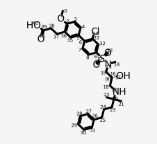 COc1ccc(-c2ccc(S(=O)(=O)N(C)C[C@H](O)CNC(C)(C)CCCc3ccccc3)cc2Cl)cc1CCC(=O)O